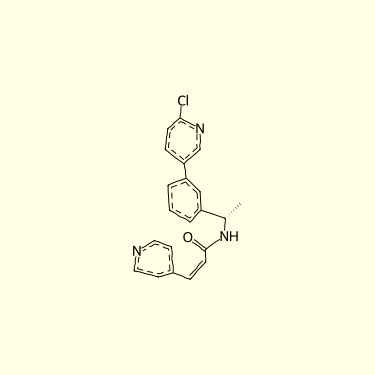 C[C@H](NC(=O)/C=C\c1ccncc1)c1cccc(-c2ccc(Cl)nc2)c1